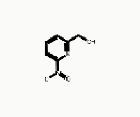 O=[N+]([O-])c1cccc(CO)n1